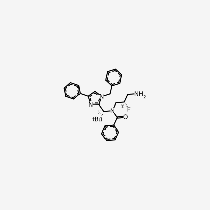 CC(C)(C)[C@H](c1nc(-c2ccccc2)cn1Cc1ccccc1)N(C[C@@H](F)CN)C(=O)c1ccccc1